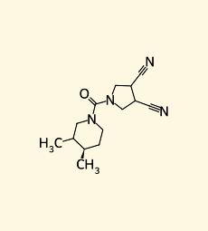 CC1CN(C(=O)N2CC(C#N)C(C#N)C2)CC[C@H]1C